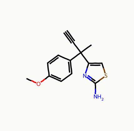 C#CC(C)(c1ccc(OC)cc1)c1csc(N)n1